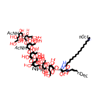 CCCCCCCC/C=C\CCCCCCCCCCCCCCCC(=O)N[C@@H](CO[C@@H]1OC(CO)[C@@H](O[C@@H]2OC(CO)[C@H](O)[C@H](O[C@@H]3OC(CO)[C@@H](O[C@@H]4OC(CO)[C@H](O)[C@H](O[C@@H]5OC(CO)[C@@H](O)[C@H](O[C@@H]6OC(CO)[C@H](O)[C@H](O[C@]7(C(=O)O)CC(O)[C@@H](NC(C)=O)C([C@H](O)[C@H](O)CO)O7)C6O)C5NC(C)=O)C4O)[C@H](O)C3NC(C)=O)C2O)[C@H](O)C1O)[C@H](O)/C=C/CCCCCCCCCCCCC